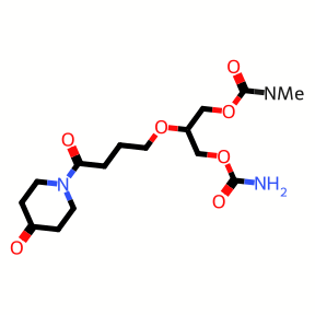 CNC(=O)OCC(COC(N)=O)OCCCC(=O)N1CCC(=O)CC1